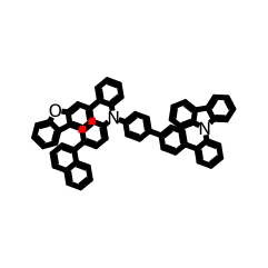 c1ccc(N(c2ccc(-c3ccc(-c4ccccc4-n4c5ccccc5c5ccccc54)cc3)cc2)c2ccc(-c3cccc4ccccc34)cc2)c(-c2ccc3c(c2)oc2ccccc23)c1